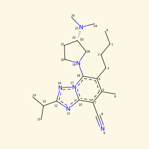 CCCCc1c(C)c(C#N)c2nc(C(C)C)nn2c1N1CC[C@H](N(C)C)C1